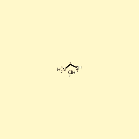 Cl.NCS